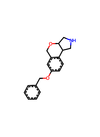 c1ccc(COc2ccc3c(c2)COC2CNCC32)cc1